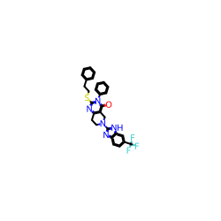 O=c1c2c(nc(SCCc3ccccc3)n1-c1ccccc1)CCN(c1nc3ccc(C(F)(F)F)cc3[nH]1)C2